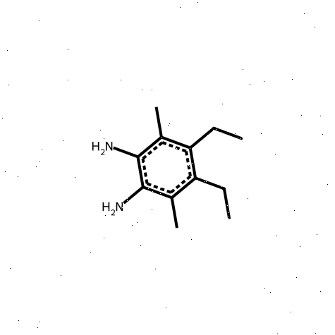 CCc1c(C)c(N)c(N)c(C)c1CC